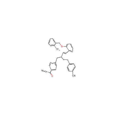 COC(=O)c1ccc(CC(C=Cc2ccccc2OCc2ccccc2C(F)(F)F)CCc2ccc(C#N)cc2)cc1